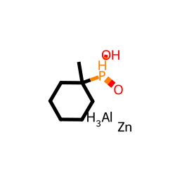 CC1([PH](=O)O)CCCCC1.[AlH3].[Zn]